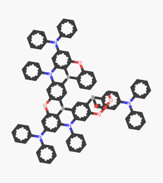 c1ccc(N(c2ccccc2)c2cc3c4c(c2)Oc2cc5c(cc2B4c2ccccc2O3)B2c3cc4c(cc3Oc3cc(N(c6ccccc6)c6ccccc6)cc(c32)N5c2ccccc2)N(c2ccccc2)c2cc(N(c3ccccc3)c3ccccc3)cc3c2B4c2ccccc2O3)cc1